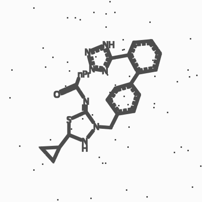 CCCC(=O)N=C1SC(C2CC2)NN1Cc1ccc(-c2ccccc2-c2nnn[nH]2)cc1